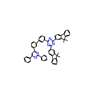 CC1(C)c2ccccc2-c2ccc(-c3nc(-c4cccc(-c5cccc(-c6cc(-c7ccccc7)nc(-c7ccccc7)n6)c5)c4)nc(-c4ccc5c(c4)C(C)(C)c4ccccc4-5)n3)cc21